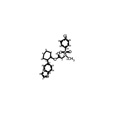 CN(CC(=O)OC1CCCCC1c1ccc2nccn2c1)S(=O)(=O)c1ccc(Cl)cc1